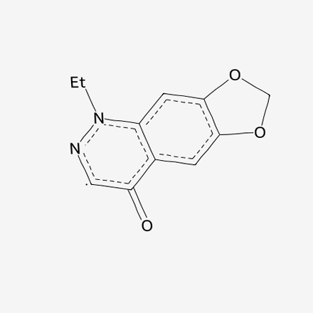 CCn1n[c]c(=O)c2cc3c(cc21)OCO3